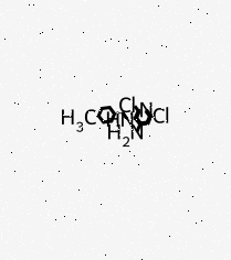 C[C@H]1CC[C@H](CNc2c(N)cc(Cl)nc2Cl)CC1